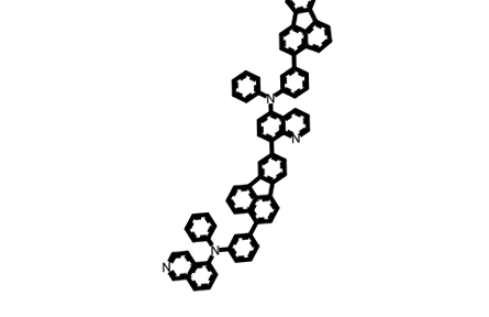 c1ccc(N(c2cccc(-c3ccc4c5c(cccc35)-c3cc(-c5ccc(N(c6ccccc6)c6cccc(-c7ccc8c9c(cccc79)-c7ccccc7-8)c6)c6cccnc56)ccc3-4)c2)c2cccc3cnccc23)cc1